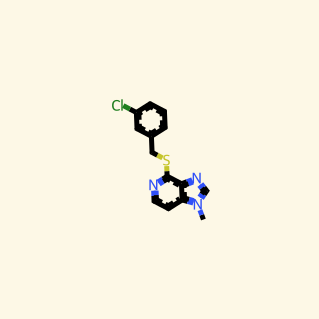 Cn1cnc2c(SCc3cccc(Cl)c3)nccc21